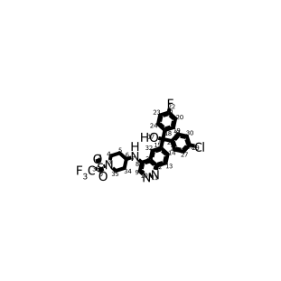 O=S(=O)(N1CCC(Nc2cnnc3ccc(C(O)(c4ccc(F)cc4)c4ccc(Cl)cc4)cc23)CC1)C(F)(F)F